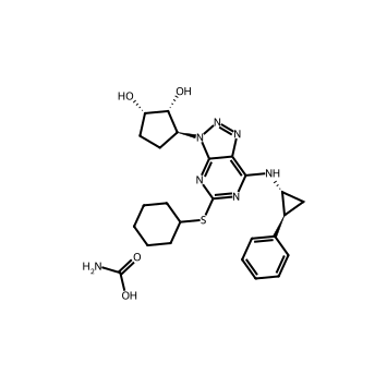 NC(=O)O.O[C@H]1[C@@H](O)CC[C@@H]1n1nnc2c(N[C@@H]3C[C@H]3c3ccccc3)nc(SC3CCCCC3)nc21